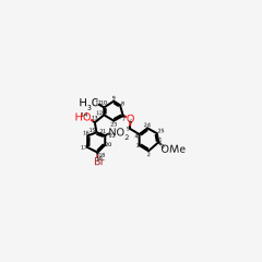 COc1ccc(COc2ccc(C)c(C(O)c3ccc(Br)cc3[N+](=O)[O-])c2)cc1